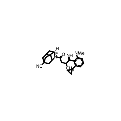 CNc1cccc(C2CC2)c1C(=N)C(C)CC(=O)N1C2CC3C[C@@H]1CC(C#N)(C3)C2